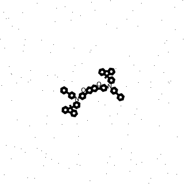 CC1(c2cccc(N(c3ccc(-c4ccccc4)cc3)c3ccc4c(c3)oc3cc5cc6oc7cc(N(c8ccc(-c9ccccc9)cc8)c8cccc(C9(C)c%10ccccc%10-c%10ccccc%109)c8)ccc7c6cc5cc34)c2)c2ccccc2-c2ccccc21